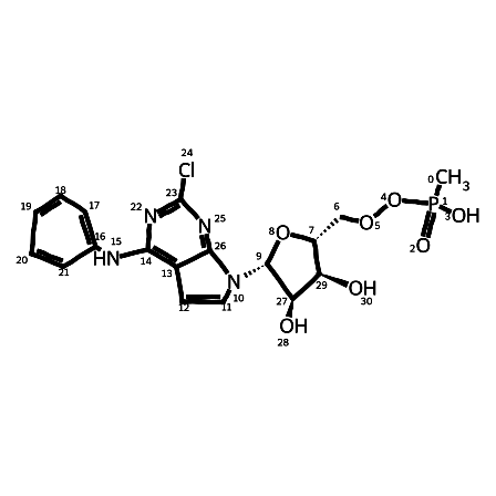 CP(=O)(O)OOC[C@H]1O[C@@H](n2ccc3c(Nc4ccccc4)nc(Cl)nc32)[C@H](O)[C@@H]1O